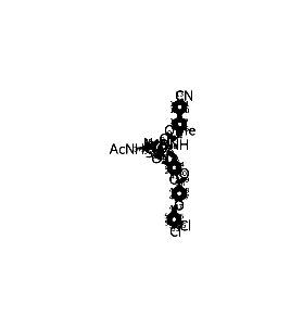 COC(=O)[C@H](Cc1ccc(-c2ccc(C#N)cc2)cc1)NC(=O)[C@@H]1Cc2cc3c(cc2CN1S(=O)(=O)c1sc(NC(C)=O)nc1C)O[C@H](c1ccc(OCc2ccc(Cl)c(Cl)c2)cc1)CO3